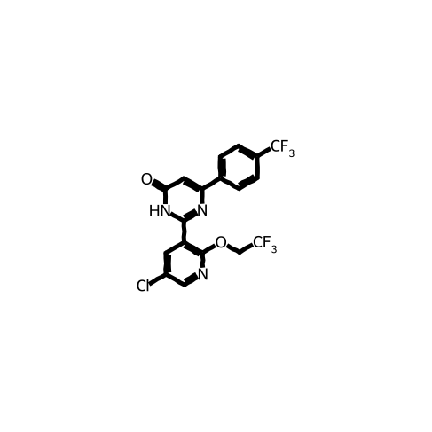 O=c1cc(-c2ccc(C(F)(F)F)cc2)nc(-c2cc(Cl)cnc2OCC(F)(F)F)[nH]1